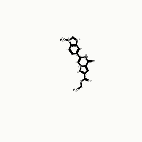 CCOC(=O)c1cc2c(=O)[nH]c(-c3ccc4c(c3)ncn4C)cn2n1